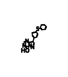 Oc1ncnc2c(-c3ccc(Sc4ccccc4)cc3)cnn12